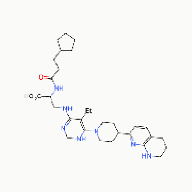 CCC1=C(N2CCC(c3ccc4c(n3)NCCC4)CC2)NCN=C1NC[C@H](NC(=O)CCC1CCCC1)C(=O)O